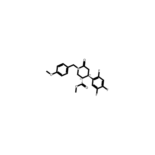 COC(=O)[C@@H]1CN(Cc2ccc(OC)cc2)C(=O)C[C@H]1c1cc(F)c(F)cc1F